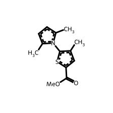 COC(=O)c1cc(C)c(-n2c(C)ccc2C)s1